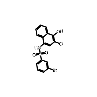 O=S(=O)(Nc1cc(Cl)c(O)c2ccccc12)c1cccc(Br)c1